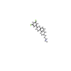 C/C=C/CCC1CCc2c(ccc3c2CCC(c2cc(F)cc(F)c2)C3)C1